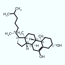 CC(C)CCC[C@@H](C)[C@H]1CC[C@H]2[C@@H]3CC(O)=C4C[C@@H](O)CC[C@]4(C)[C@H]3CC[C@]12C